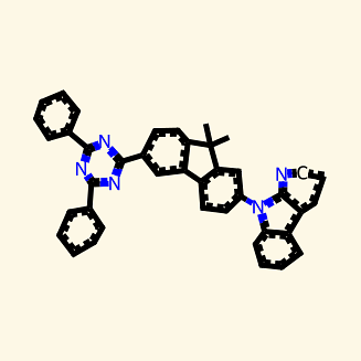 CC1(C)c2ccc(-c3nc(-c4ccccc4)nc(-c4ccccc4)n3)cc2-c2ccc(-n3c4ccccc4c4cccnc43)cc21